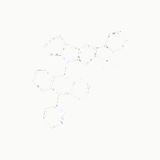 CC1(C)c2ccccc2-c2cc3c4ccccc4n(-c4c5ccccc5c(-c5ccccn5)c5ccccc45)c3cc21